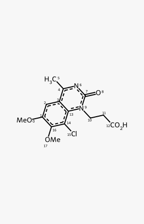 COc1cc2c(C)nc(=O)n(CCC(=O)O)c2c(Cl)c1OC